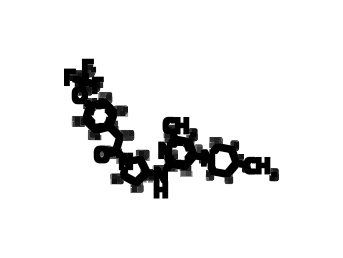 Cc1cc(N2CCC(C)CC2)cc(N[C@H]2CCN(C(=O)Cc3ccc(OC(F)(F)F)cc3)C2)n1